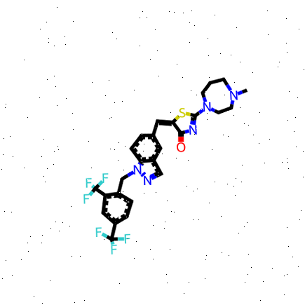 CN1CCCN(C2=NC(=O)C(=Cc3ccc4c(cnn4Cc4ccc(C(F)(F)F)cc4C(F)(F)F)c3)S2)CC1